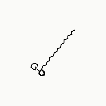 CCCCCCCCCCCCCCCCCCc1ccccc1N1CCCCC1